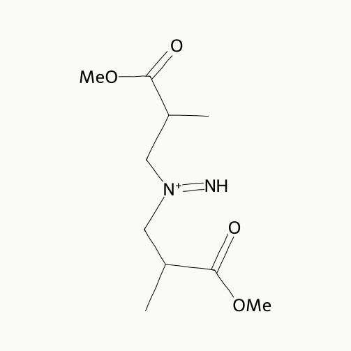 COC(=O)C(C)C[N+](=N)CC(C)C(=O)OC